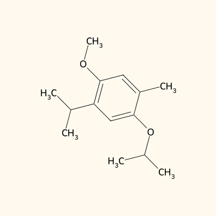 COc1cc(C)c(OC(C)C)cc1C(C)C